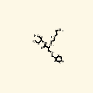 NCCNCCNC(COCc1ccccc1)C(=O)NC(CO)CO